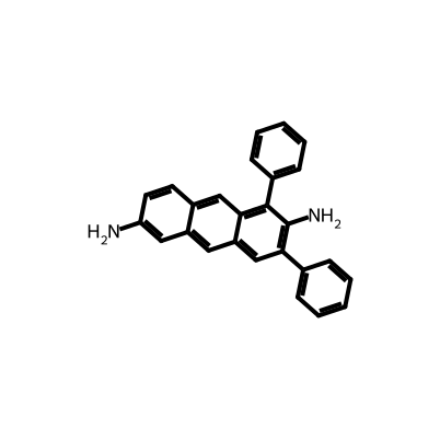 Nc1ccc2cc3c(-c4ccccc4)c(N)c(-c4ccccc4)cc3cc2c1